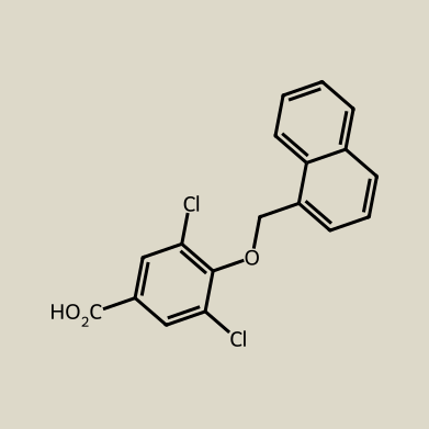 O=C(O)c1cc(Cl)c(OCc2cccc3ccccc23)c(Cl)c1